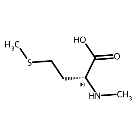 CN[C@H](CCSC)C(=O)O